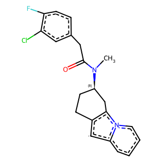 CN(C(=O)Cc1ccc(F)c(Cl)c1)[C@@H]1CCc2[c]c3ccccn3c2C1